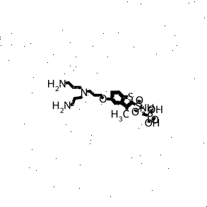 Cc1c(S(=O)(=O)NCP(=O)(O)O)sc2ccc(OCCCN(CCCN)CCCN)cc12